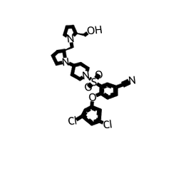 N#Cc1ccc(Oc2cc(Cl)cc(Cl)c2)c(S(=O)(=O)N2CCC(N3CCC[C@H]3CN3CCC[C@H]3CO)CC2)c1